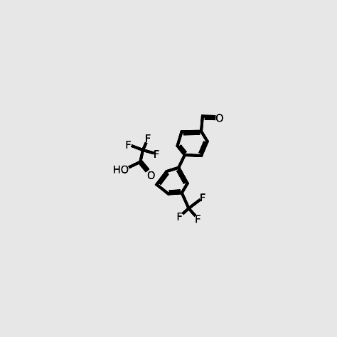 O=C(O)C(F)(F)F.O=Cc1ccc(-c2cccc(C(F)(F)F)c2)cc1